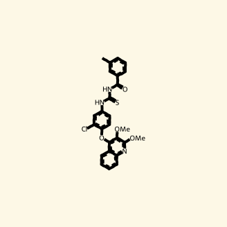 COc1nc2ccccc2c(Oc2ccc(NC(=S)NC(=O)c3cccc(C)c3)cc2Cl)c1OC